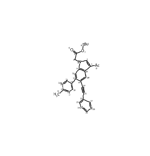 CC(=O)c1cn(CC(=O)OC(C)(C)C)c2cc(-c3cnc(C)nc3)c(C#Cc3cncnc3)cc12